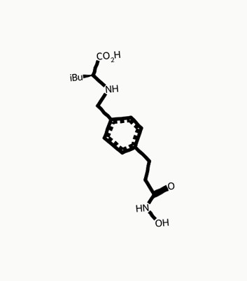 CCC(C)[C@H](NCc1ccc(CCC(=O)NO)cc1)C(=O)O